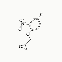 O=[N+]([O-])c1cc(Cl)ccc1OCC1CO1